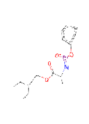 CCC(CC)COC(=O)C(C)N=[P+]([O-])Oc1ccccc1